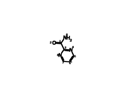 NC(=O)c1nc[c]cn1